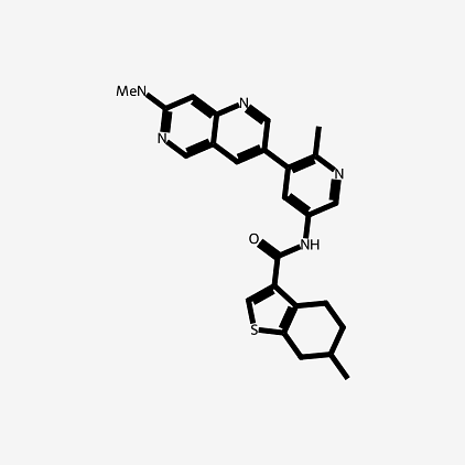 CNc1cc2ncc(-c3cc(NC(=O)c4csc5c4CCC(C)C5)cnc3C)cc2cn1